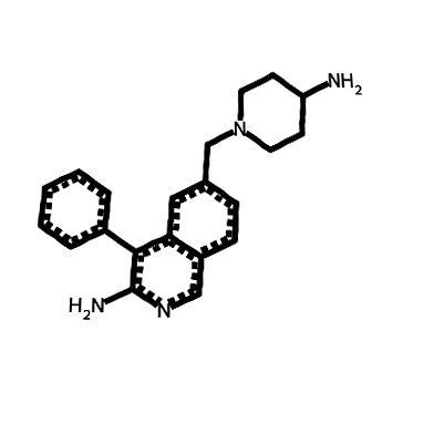 Nc1ncc2ccc(CN3CCC(N)CC3)cc2c1-c1ccccc1